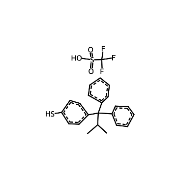 CC(C)C(c1ccccc1)(c1ccccc1)c1ccc(S)cc1.O=S(=O)(O)C(F)(F)F